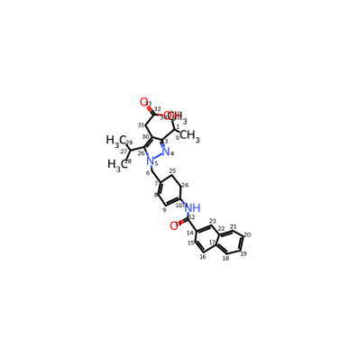 CC(C)c1nn(CC2=CC=C(NC(=O)c3ccc4ccccc4c3)CC2)c(C(C)C)c1CC(=O)O